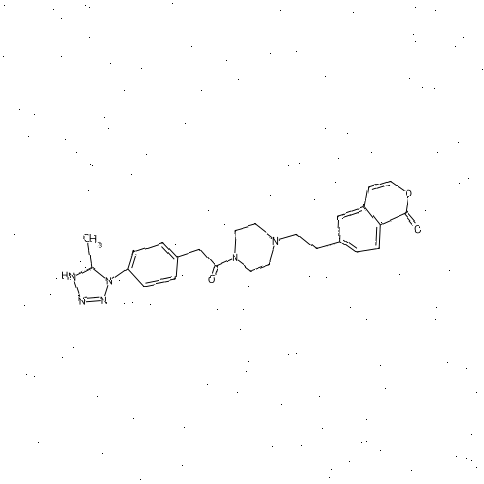 CC1NN=NN1c1ccc(CC(=O)N2CCN(CCc3ccc4c(=O)occc4c3)CC2)cc1